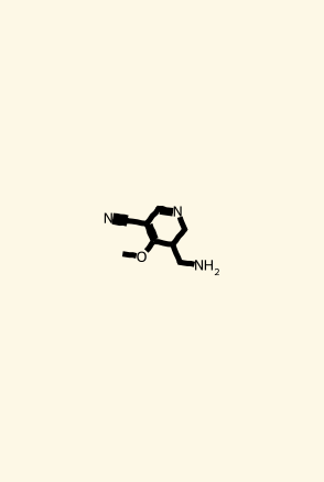 COC1=C(C#N)C=NC[C]1CN